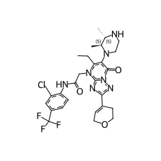 CCc1c(N2CCN[C@@H](C)[C@@H]2C)c(=O)n2nc(C3=CCOCC3)nc2n1CC(=O)Nc1ccc(C(F)(F)F)cc1Cl